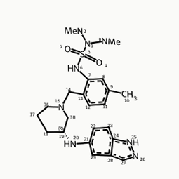 CNN(NC)S(=O)(=O)Nc1cc(C)ccc1CN1CCC[C@@H](Nc2ccc3[nH]ncc3c2)C1